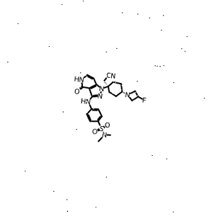 CN(C)S(=O)(=O)c1ccc(Nc2nn([C@]3(CC#N)CC[C@@H](N4CC(F)C4)CC3)c3cc[nH]c(=O)c23)cc1